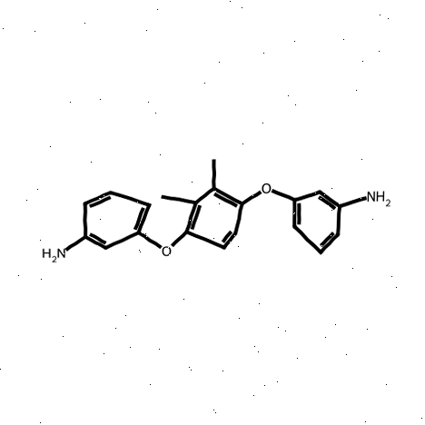 Cc1c(Oc2cccc(N)c2)ccc(Oc2cccc(N)c2)c1C